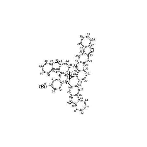 CC(C)(C)c1ccc(Nc2cc3sc4ccccc4c3cc2-c2ccc3c4cc5oc6ccccc6c5cc4n4c3c2Bc2cc3c(cc2-4)sc2ccccc23)cc1